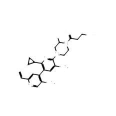 C=Cc1cc(-c2cc(C#N)c(N3CCN(C(=O)CCO)C(C(C)C)C3)nc2C2CC2)c(C#N)cn1